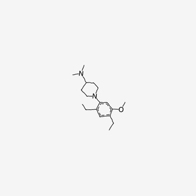 CCc1cc(CC)c(N2CCC(N(C)C)CC2)cc1OC